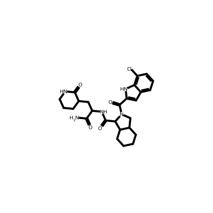 NC(=O)C(CC1CCCNC1=O)NC(=O)C1C2CCCCC2CN1C(=O)c1cc2cccc(Cl)c2[nH]1